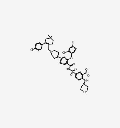 CC1(C)CCC(CN2CCN(c3ccc(C(=O)NS(=O)(=O)c4ccc(NN5CCOCC5)c([N+](=O)[O-])c4)c(Oc4ccc(F)cc4Cl)c3)CC2)=C(c2ccc(Cl)cc2)C1